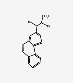 O=C(O)C(Br)C(Br)c1ccc2c(ccc3ccccc32)c1